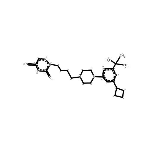 CC(C)(C)c1nc(C2CCC2)cc(N2CCN(CCCCn3ncc(=O)[nH]c3=O)CC2)n1